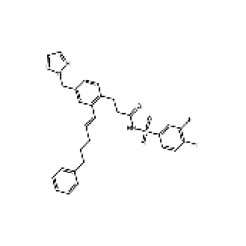 O=C(CCc1ccc(Cn2cccn2)cc1C=CCCCc1ccccc1)NS(=O)(=O)c1ccc(F)c(F)c1